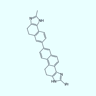 Cc1nc2c([nH]1)-c1ccc(-c3ccc4c5c(ccc4c3)-c3nc(C(C)C)[nH]c3CC5)cc1CC2